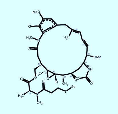 CCSCCC(=O)N(C)[C@@H](C)C(=O)OC[C@H]1CC(=O)N(C)c2cc(cc(OC)c2Cl)C/C(C)=C/C=C/[C@@H](OC)[C@@]2(O)C[C@H](OC(=O)N2)[C@@H](C)[C@@H]2O[C@@]12C